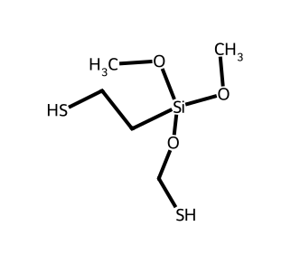 CO[Si](CCS)(OC)OCS